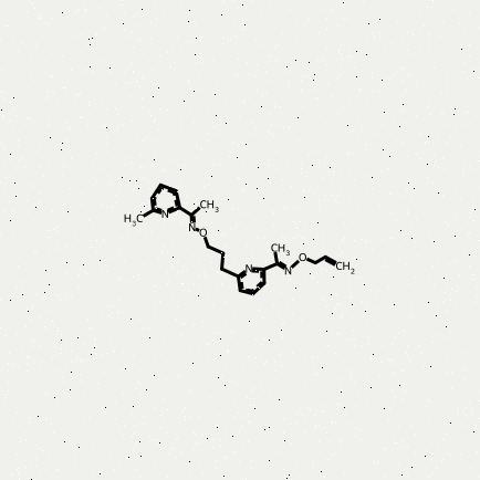 C=CCO/N=C(\C)c1cccc(CCCO/N=C(\C)c2cccc(C)n2)n1